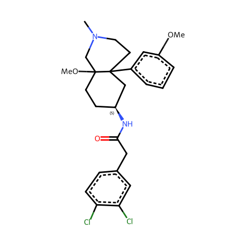 COc1cccc(C23CCN(C)CC2(OC)CC[C@H](NC(=O)Cc2ccc(Cl)c(Cl)c2)C3)c1